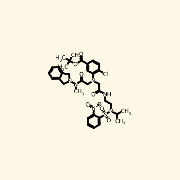 CC(C)N(CCNC(=O)CN(CC(=O)N(C)N1Cc2ccccc2C1)c1cc(C(=O)OC(C)(C)C)ccc1Cl)S(=O)(=O)c1ccccc1[N+](=O)[O-]